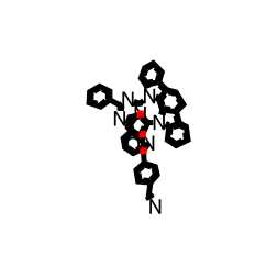 N#Cc1ccc(-c2nc3c(-n4c5ccccc5c5ccc6c7ccccc7n(-c7nc(-c8ccccc8)nc(-c8ccccc8)n7)c6c54)cccc3o2)cc1